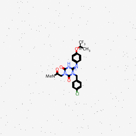 CNC(=O)Cn1c(=O)[nH]/c(=N\c2ccc(O[C@H](C)C(F)(F)F)cc2)n(Cc2ccc(Cl)cc2)c1=O